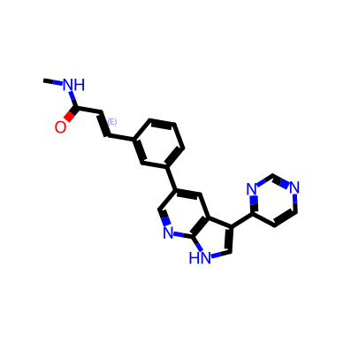 CNC(=O)/C=C/c1cccc(-c2cnc3[nH]cc(-c4ccncn4)c3c2)c1